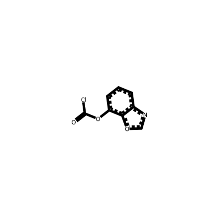 O=C(Cl)Oc1cccc2ncoc12